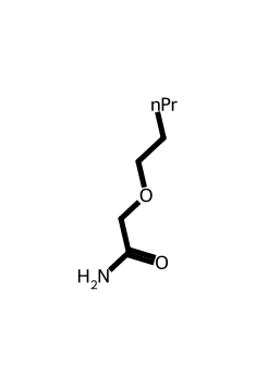 CCCCCOCC(N)=O